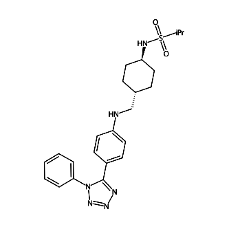 CC(C)S(=O)(=O)N[C@H]1CC[C@H](CNc2ccc(-c3nnnn3-c3ccccc3)cc2)CC1